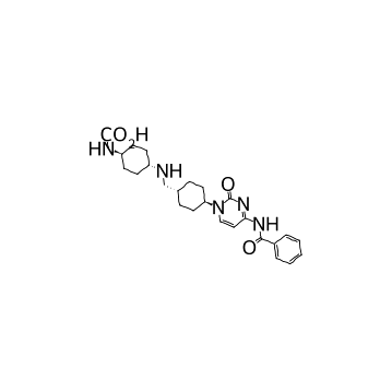 O=C(O)N[C@H]1CC[C@H](NC[C@H]2CC[C@H](n3ccc(NC(=O)c4ccccc4)nc3=O)CC2)CC1